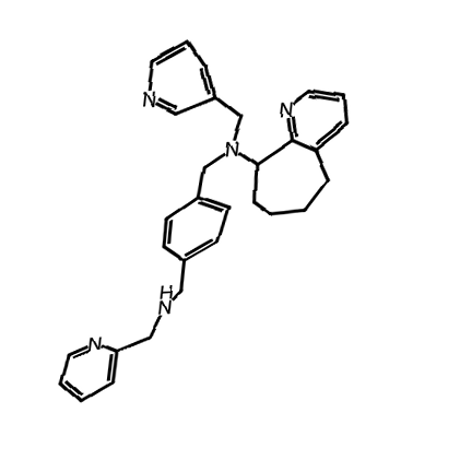 c1ccc(CNCc2ccc(CN(Cc3cccnc3)C3CCCCc4cccnc43)cc2)nc1